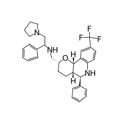 FC(F)(F)c1ccc2c(c1)[C@H]1O[C@@H](CNC(CN3CCCC3)c3ccccc3)CC[C@H]1[C@H](c1ccccc1)N2